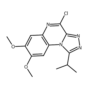 COc1cc2nc(Cl)c3nnc(C(C)C)n3c2cc1OC